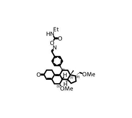 CCNC(=O)ON=Cc1ccc([C@H]2C[C@]3(C)[C@H](COC)CC[C@H]3[C@H]3C2=C2CCC(=O)C=C2C[C@@H]3OC)cc1